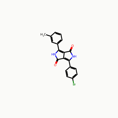 Cc1cccc(C2=C3C(=O)NC(c4ccc(Br)cc4)=C3C(=O)N2)c1